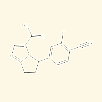 N#Cc1ccc(C2CCc3ncc(C(=O)O)n32)cc1F